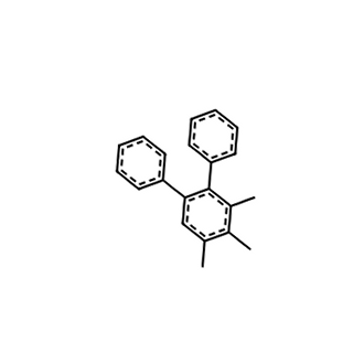 Cc1cc(-c2ccccc2)c(-c2ccccc2)c(C)c1C